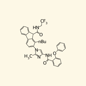 CCCCc1c(-n2cc(NC(=O)c3ccccc3Oc3ccccc3)nc2C)ccc2c1C(C(=O)NCC(F)(F)F)c1ccccc1-2